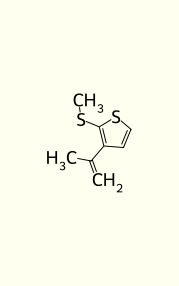 C=C(C)c1ccsc1SC